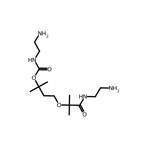 CC(C)(CCOC(C)(C)C(=O)NCCN)OC(=O)NCCN